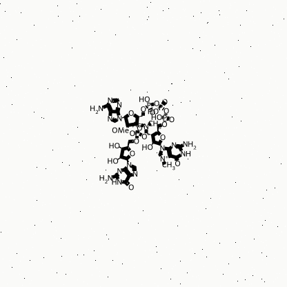 CO[C@@H]1[C@H](OP(=O)([O-])OC[C@H]2O[C@@H](n3cnc4c(=O)[nH]c(N)nc43)[C@H](O)[C@@H]2O)[C@@H](COP(=O)(O)OP(=O)(O)OP(=O)(O)OC[C@H]2O[C@@H](n3c[n+](C)c4c(=O)[nH]c(N)nc43)[C@H](O)[C@@H]2CN(C)C(C)=O)O[C@H]1n1cnc2c(N)ncnc21